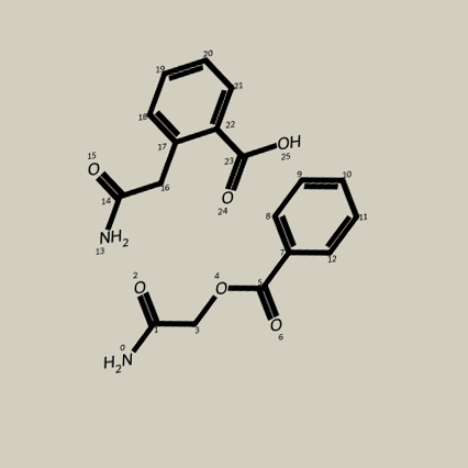 NC(=O)COC(=O)c1ccccc1.NC(=O)Cc1ccccc1C(=O)O